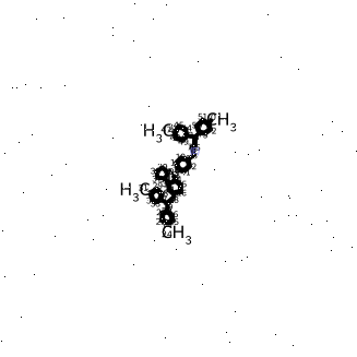 Cc1ccc(C(=C/C=C/c2ccc(N3c4ccc(C=C(c5ccc(C)cc5)c5ccc(C)cc5)cc4C4CCCC43)cc2)c2ccc(C)cc2)cc1